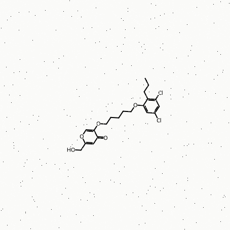 CCCc1c(Cl)cc(Cl)cc1OCCCCCOc1coc(CO)cc1=O